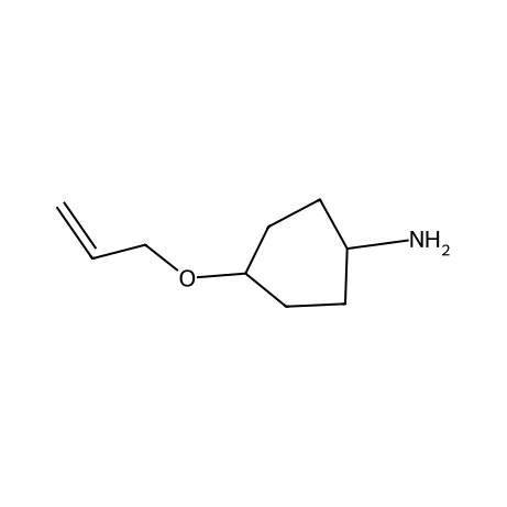 C=CCOC1CCC(N)CC1